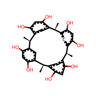 C[C@H]1c2cc(c(O)cc2O)[C@@H](C)c2cc(c(O)cc2O)[C@@H](C)c2cc(c(O)cc2O)[C@@H](C)c2cc1c(O)cc2O